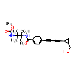 CC(C)(C)OC(=O)NC(C)(C)C(C)(NC(=O)c1ccc(C#CC#CC2CC2CO)cc1)C(=O)O